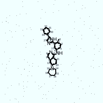 Cc1ccc(Nc2nccc3cc(N4CCCCCC4)ccc23)cc1-c1ncc(-c2ccccc2)[nH]1